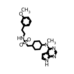 COc1cccc(CCNS(=O)(=O)CC2CCC(N(C)c3ncnc4[nH]ccc34)CC2)c1